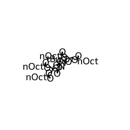 CCCCCCCCC(=O)OCC(COC(=O)CCCCCCCC)OC(=O)CN(CC(=O)OC(COC(=O)CCCCCCCC)COC(=O)CCCCCCCC)C(=O)OC(C)(C)C